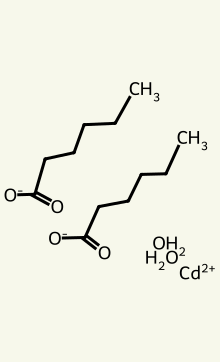 CCCCCC(=O)[O-].CCCCCC(=O)[O-].O.O.[Cd+2]